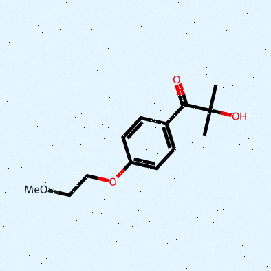 COCCOc1ccc(C(=O)C(C)(C)O)cc1